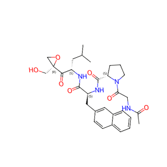 CC(=O)NCC(=O)N1CCC[C@H]1C(=O)N[C@@H](Cc1ccc2ccccc2c1)C(=O)N[C@@H](CC(C)C)C(=O)[C@@]1(CO)CO1